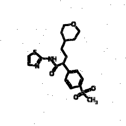 CS(=O)(=O)c1ccc(C(CCC2CCOCC2)C(=O)Nc2nccs2)cc1